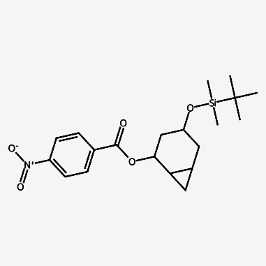 CC(C)(C)[Si](C)(C)OC1CC2CC2C(OC(=O)c2ccc([N+](=O)[O-])cc2)C1